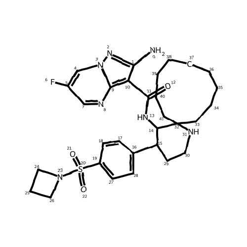 Nc1nn2cc(F)cnc2c1C(=O)NC1C(c2ccc(S(=O)(=O)N3CCC3)cc2)CCNC12CCCCCCCCC2